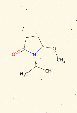 COC1CCC(=O)N1C(C)C